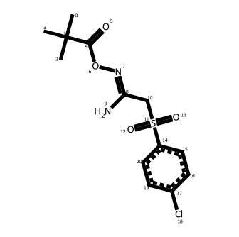 CC(C)(C)C(=O)O/N=C(\N)CS(=O)(=O)c1ccc(Cl)cc1